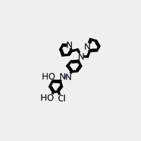 Oc1cc(O)c(/N=N/c2ccc(N(Cc3ccccn3)Cc3ccccn3)cc2)cc1Cl